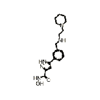 O=C(NO)c1cc(-c2cccc(CNCCN3CCCCC3)c2)[nH]n1